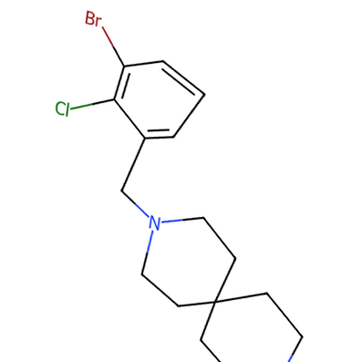 Clc1c(Br)cccc1CN1CCC2(CCNCC2)CC1